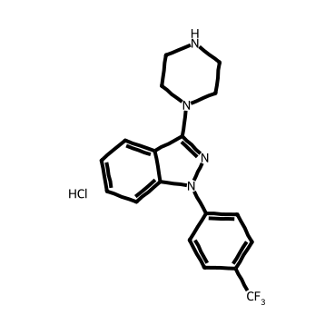 Cl.FC(F)(F)c1ccc(-n2nc(N3CCNCC3)c3ccccc32)cc1